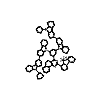 CC1(C)c2ccccc2-c2cccc(-c3nc(-c4cc(-n5c6ccccc6c6ccc(-c7ccc8c(c7)c7ccccc7n8-c7ccccc7)cc65)cc(-n5c6ccccc6c6ccc(-c7ccc8c(c7)c7ccccc7n8-c7ccccc7)cc65)c4)c4ccc5ccccc5c4n3)c21